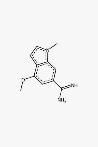 COc1cc(C(=N)N)cc2c1ccn2C